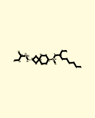 CCCCCCC(CC)CN(C)[C@H]1CCC2(CC1)C[C@@H](CNC(C)CC)C2